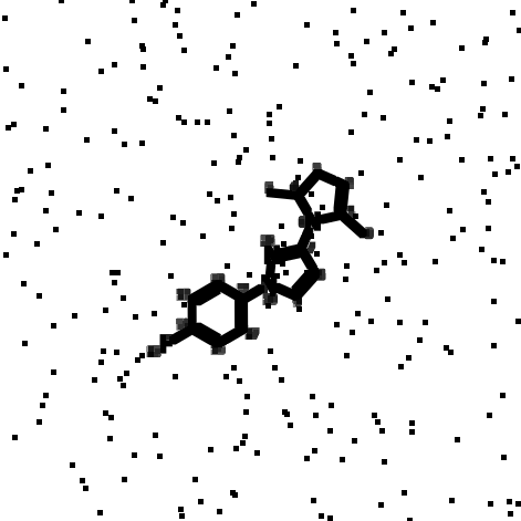 CC1=CCC(C)N1c1ccn(-c2ccc(F)cc2)n1